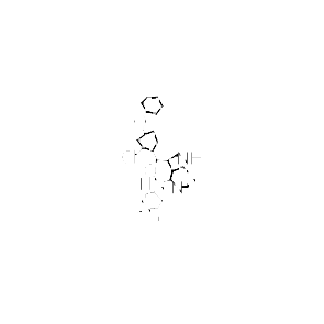 CC[C@@H]1C[C@@H](Nc2ncnc3[nH]cc(C(=O)c4ccc(Oc5ccccc5)cc4Cl)c23)CN1C